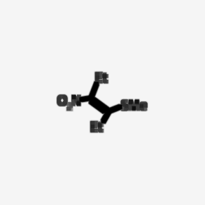 CC/C(SC)=C(/CC)[N+](=O)[O-]